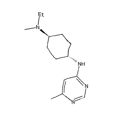 CCN(C)[C@H]1CC[C@H](Nc2cc(C)ncn2)CC1